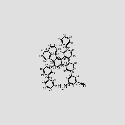 N#Cc1cc(N)cc(-c2cccc(-c3cc(-c4cccc(-c5ccccc5)c4)c4c(c3-c3cccc(-c5ccccc5)c3)-c3cccc5cccc-4c35)c2)c1